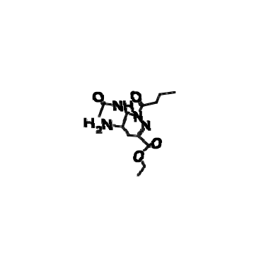 CCCC(=O)N1N=C(C(=O)OCC)CC(N)C1NC(C)=O